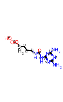 Nc1nc(N)nc(NC(=O)NCCC[SiH2]OOO)n1